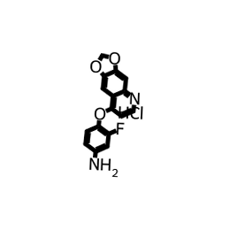 Cl.Nc1ccc(Oc2ccnc3cc4c(cc23)OCO4)c(F)c1